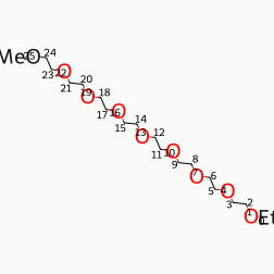 CCOCCOCCOCCOCCOCCOCCOCCOCCOC